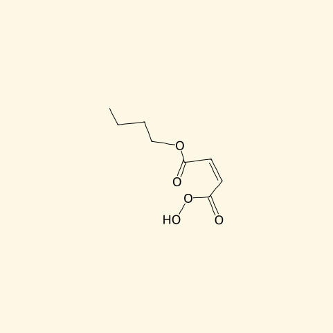 CCCCOC(=O)/C=C\C(=O)OO